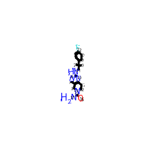 CC(C)(CNc1ncc2c(n1)CCN(C(N)=O)C2)c1ccc(F)cc1